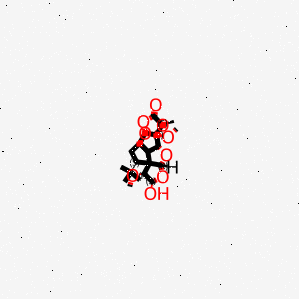 CO[C@H]1[C@@H](O)O[C@H]2OC34C(=O)OC5C[C@@H](C(C)(C)C)C21C53CC1OC(=O)[C@@H](C)[C@@]14OC